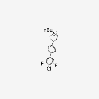 CCCC[Si]1(C)CCC(c2ccc(-c3cc(F)c(Cl)c(F)c3)cc2)CC1